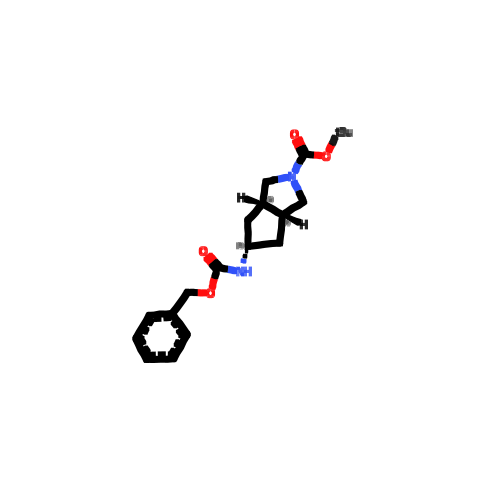 CC(C)(C)OC(=O)N1C[C@H]2C[C@@H](NC(=O)OCc3ccccc3)C[C@H]2C1